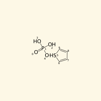 O=P(O)(O)O[SH]1C=CC=C1